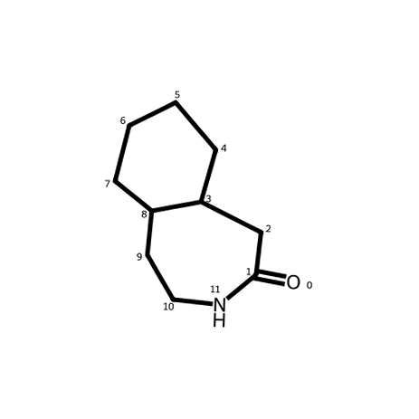 O=C1CC2CCCCC2CCN1